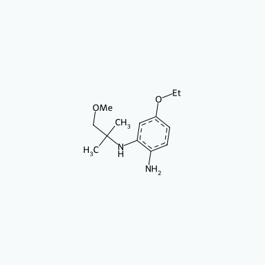 CCOc1ccc(N)c(NC(C)(C)COC)c1